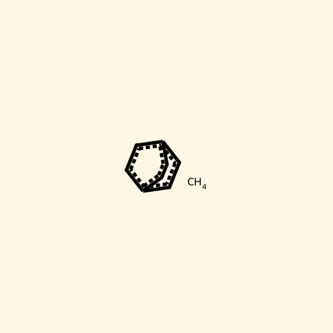 C.c1cc2ccc1cc2